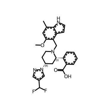 COc1cc(C)c2[nH]ccc2c1CN1CC[C@@H](n2cc(C(F)F)cn2)C[C@H]1c1ccccc1C(=O)O